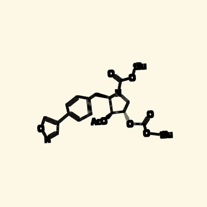 CC(=O)O[C@@H]1[C@@H](OC(=O)OC(C)(C)C)CN(C(=O)OC(C)(C)C)[C@@H]1Cc1ccc(-c2cnoc2)cc1